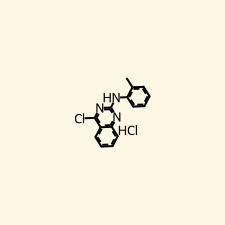 Cc1ccccc1Nc1nc(Cl)c2ccccc2n1.Cl